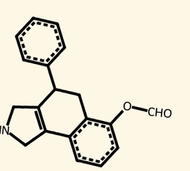 O=COc1cccc2c1CC(c1ccccc1)C1=C2CNC1